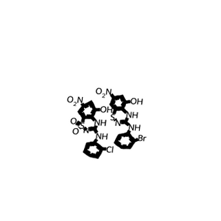 O=[N+]([O-])c1cc(O)c2c(c1)S(=O)(=O)N=C(Nc1ccccc1Cl)N2.O=[N+]([O-])c1cc(O)c2c(c1)SN=C(Nc1ccccc1Br)N2